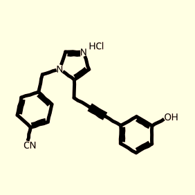 Cl.N#Cc1ccc(Cn2cncc2CC#Cc2cccc(O)c2)cc1